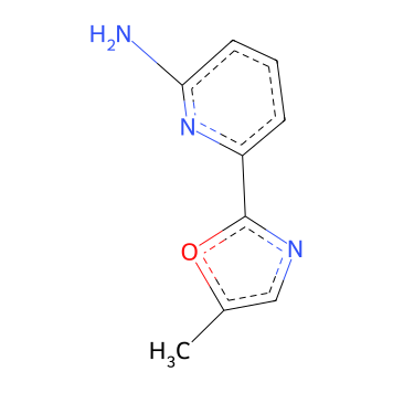 Cc1cnc(-c2cccc(N)n2)o1